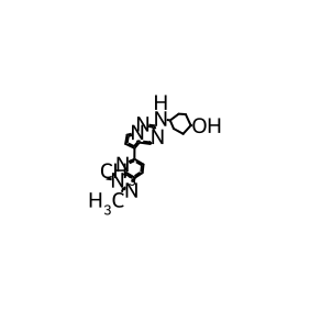 CCn1c(C)nc2ccc(-c3ccn4nc(NC5CCC(O)CC5)ncc34)nc21